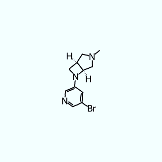 CN1C[C@@H]2CN(c3cncc(Br)c3)[C@@H]2C1